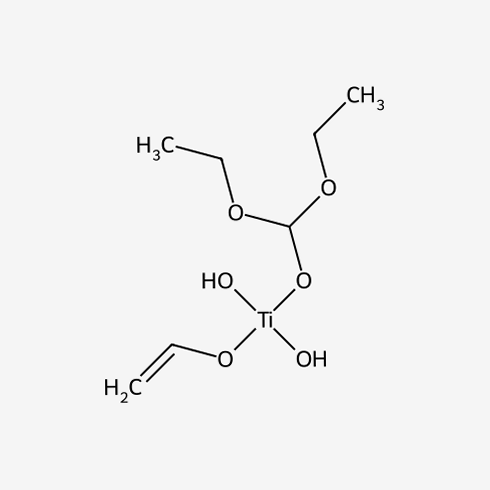 C=C[O][Ti]([OH])([OH])[O]C(OCC)OCC